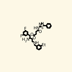 CCc1cccc(CNCC(OC(=O)CCC(=O)Nc2nnc(-c3ccccc3)s2)C(N)Cc2cc(F)cc(F)c2)c1